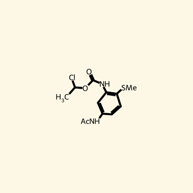 CSc1ccc(NC(C)=O)cc1NC(=O)OC(C)Cl